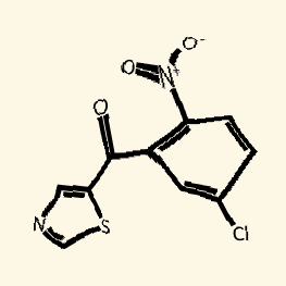 O=C(c1cncs1)c1cc(Cl)ccc1[N+](=O)[O-]